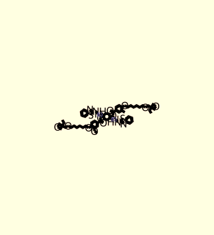 CCC1(COCCCCCCOc2ccc(C(=O)OC3(/C=N/Nc4nc5ccccc5s4)CCC(/C=N/Nc4nc5ccccc5s4)(OC(=O)c4ccc(OCCCCCCOCC5(CC)COC5)c(OC)c4)CC3)cc2C)COC1